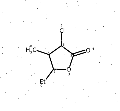 CCC1OC(=O)C(Cl)C1C